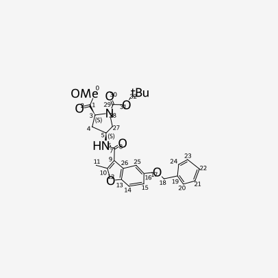 COC(=O)[C@@H]1C[C@H](NC(=O)c2c(C)oc3ccc(OCc4ccccc4)cc23)CN1C(=O)OC(C)(C)C